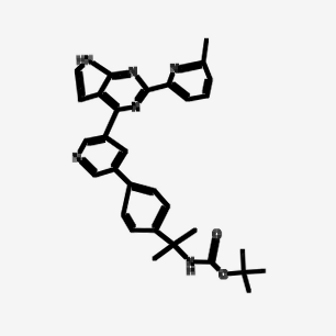 Cc1cccc(-c2nc(-c3cncc(-c4ccc(C(C)(C)NC(=O)OC(C)(C)C)cc4)c3)c3cc[nH]c3n2)n1